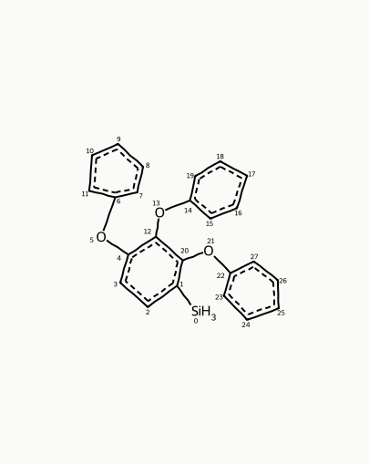 [SiH3]c1ccc(Oc2ccccc2)c(Oc2ccccc2)c1Oc1ccccc1